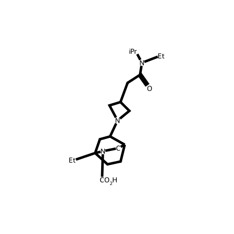 CCN(C(=O)CC1CN(C2CC3(CC)CCC2CN3C(=O)O)C1)C(C)C